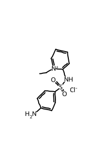 CC[n+]1ccccc1NS(=O)(=O)c1ccc(N)cc1.[Cl-]